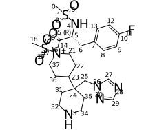 CS(=O)(=O)N[C@H](Cc1ccc(F)cc1)C(=O)[N+]1(S(C)(=O)=O)CCC(C2(Cn3cncn3)CCNCC2)CC1